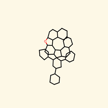 C1CCC(C2CC(C3CCCCC3)C3(C(C4CCCCC4)C2)C2CCC4CCCCC4C2C2C4C(CCC23)OC2CCC3CCCCC3C24)CC1